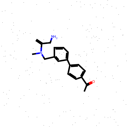 C=C(CN)N(C)Cc1cccc(-c2ccc(C(C)=O)cc2)c1